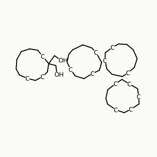 C1CCCCCCCCCCC1.C1CCCCCCCCCCC1.C1CCCCCCCCCCC1.OCC1(CO)CCCCCCCCCCC1